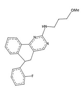 COCCCNc1ncc2c(n1)-c1ccccc1C(c1ccccc1F)C2